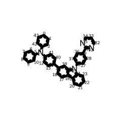 c1ccc(N(c2ccccc2)c2ccc(-c3ccc4c5ccccc5n(-c5ccc(-c6ncccn6)cc5)c4c3)cc2)cc1